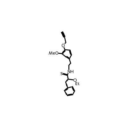 C#CCOc1ccc(CCNC(=S)C(Cc2ccccc2)OCC)cc1OC